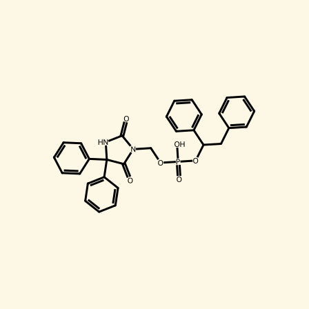 O=C1NC(c2ccccc2)(c2ccccc2)C(=O)N1COP(=O)(O)OC(Cc1ccccc1)c1ccccc1